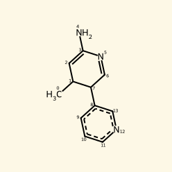 CC1C=C(N)N=CC1c1cccnc1